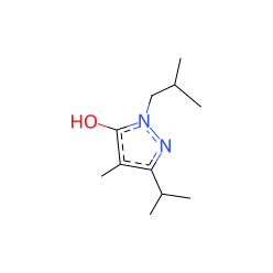 Cc1c(C(C)C)nn(CC(C)C)c1O